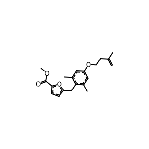 C=C(C)CCOc1cc(C)c(Cc2ccc(C(=O)OC)o2)c(C)c1